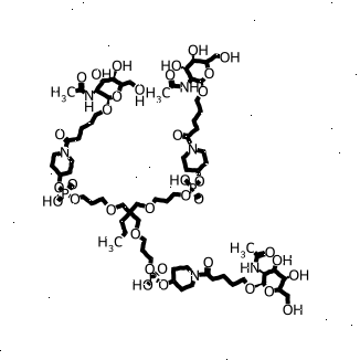 CCCC(COCCCOP(=O)(O)OC1CCN(C(=O)CCCCO[C@@H]2OC(CO)[C@H](O)[C@H](O)C2NC(C)=O)CC1)(COCCCOP(=O)(O)OC1CCN(C(=O)CCCCO[C@@H]2OC(CO)[C@H](O)C(O)[C@@H]2NC(C)=O)CC1)COCCCOP(=O)(O)OC1CCN(C(=O)CCCCO[C@@H]2OC(CO)[C@H](O)C(O)[C@@H]2NC(C)=O)CC1